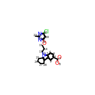 COC(=O)c1ccc2c(c1)c1c(n2CCCOc2cc(Cl)nc(C)n2)CCCC1